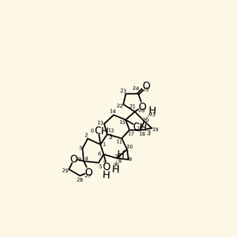 CC12CCC3(CC1(O)[C@@H]1C[C@@H]1C1C2CCC2(C)C1C1C[C@@H]1C21CCC(=O)O1)OCCO3